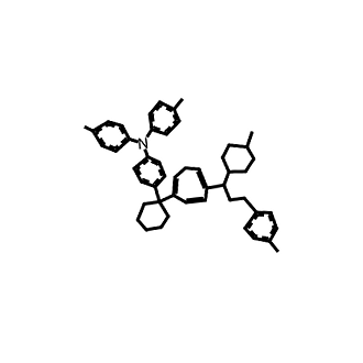 Cc1ccc(CCC(C2=CCC=C(C3(c4ccc(N(c5ccc(C)cc5)c5ccc(C)cc5)cc4)CCCCC3)C=C2)C2CCC(C)CC2)cc1